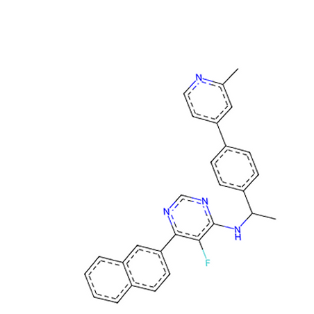 Cc1cc(-c2ccc(C(C)Nc3ncnc(-c4ccc5ccccc5c4)c3F)cc2)ccn1